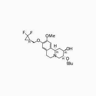 COc1cc2c(cc1OC[C@H]1CC1(F)F)CCN1C[C@@H](OC(C)(C)C)[C@H](O)C[C@H]21